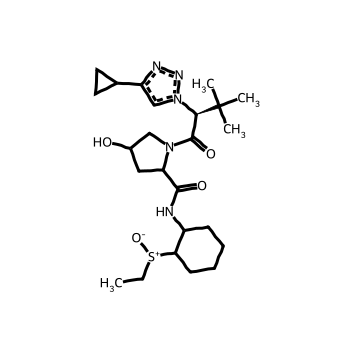 CC[S+]([O-])C1CCCCC1NC(=O)C1CC(O)CN1C(=O)[C@@H](n1cc(C2CC2)nn1)C(C)(C)C